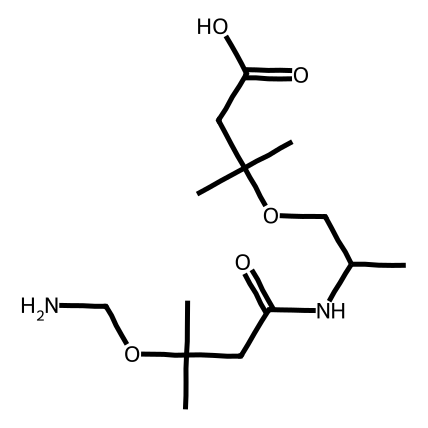 CC(COC(C)(C)CC(=O)O)NC(=O)CC(C)(C)OCN